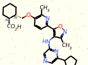 Cc1nc(-c2onc(C)c2Nc2cncc(C3CCCC3)n2)ccc1OC[C@H]1CCCC[C@@H]1C(=O)O